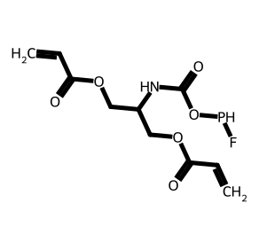 C=CC(=O)OCC(COC(=O)C=C)NC(=O)OPF